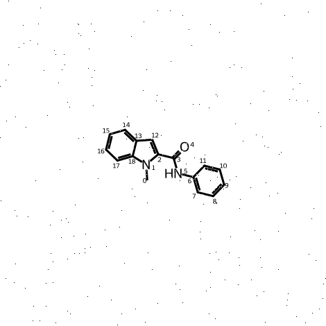 Cn1c(C(=O)Nc2ccccc2)cc2ccccc21